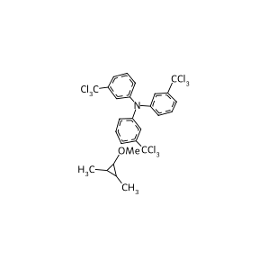 COC1C(C)C1C.ClC(Cl)(Cl)c1cccc(N(c2cccc(C(Cl)(Cl)Cl)c2)c2cccc(C(Cl)(Cl)Cl)c2)c1